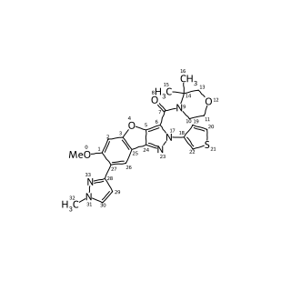 COc1cc2oc3c(C(=O)N4CCOCC4(C)C)n(-c4ccsc4)nc3c2cc1-c1ccn(C)n1